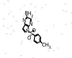 Bc1cnc2c(ccn2S(=O)(=O)c2ccc(C)cc2)n1